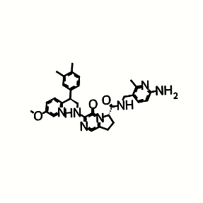 COc1ccc([C@H](CNc2ncc3n(c2=O)[C@H](C(=O)NCc2ccc(N)nc2C)CC3)c2ccc(C)c(C)c2)nc1